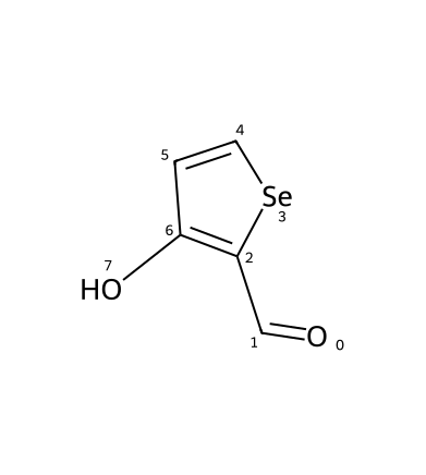 O=Cc1[se]ccc1O